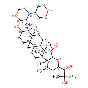 C[C@@H]1CC(C(O)C(C)(C)O)OC2[C@H]1C1(C)CCC34CC35CCC(O[C@H]3CN(C6CCOCC6)CCO3)C(C)(C)[C@@H]5CCC4[C@]1(C)[C@H]2O